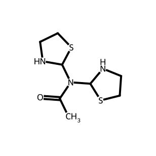 CC(=O)N(C1NCCS1)C1NCCS1